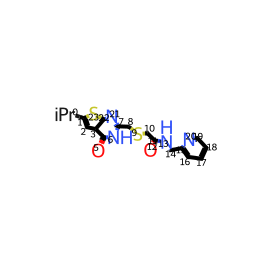 CC(C)C1=CC2C(=O)NC(CSCC(=O)NCc3ccccn3)=NC2S1